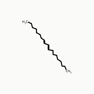 CCCCCCCC=CC=CCCCCCCCC